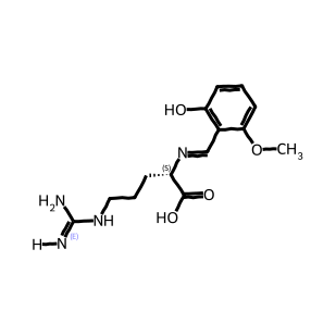 [H]/N=C(\N)NCCC[C@H](N=Cc1c(O)cccc1OC)C(=O)O